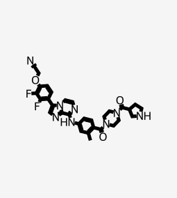 Cc1cc(Nc2nccn3c(-c4ccc(OCC#N)c(F)c4F)cnc23)ccc1C(=O)N1CCN(C(=O)C2CCNC2)CC1